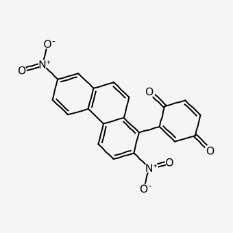 O=C1C=CC(=O)C(c2c([N+](=O)[O-])ccc3c2ccc2cc([N+](=O)[O-])ccc23)=C1